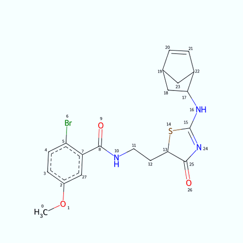 COc1ccc(Br)c(C(=O)NCCC2SC(NC3CC4C=CC3C4)=NC2=O)c1